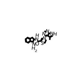 Cc1c[nH]c2ncnc(N3C=C(C(=O)N[C@@H]4Cc5ccccc5[C@@H]4N)SCC3)c12